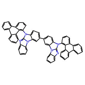 c1ccc2c(c1)nc1n(-c3cccc4c5ccccc5c5ccccc5c34)c3ccc(-c4ccc5c(c4)n4c6ccccc6nc4n5-c4cccc5c6ccccc6c6ccccc6c45)cc3n21